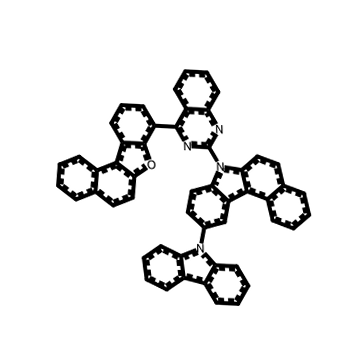 c1ccc2c(c1)ccc1oc3c(-c4nc(-n5c6ccc(-n7c8ccccc8c8ccccc87)cc6c6c7ccccc7ccc65)nc5ccccc45)cccc3c12